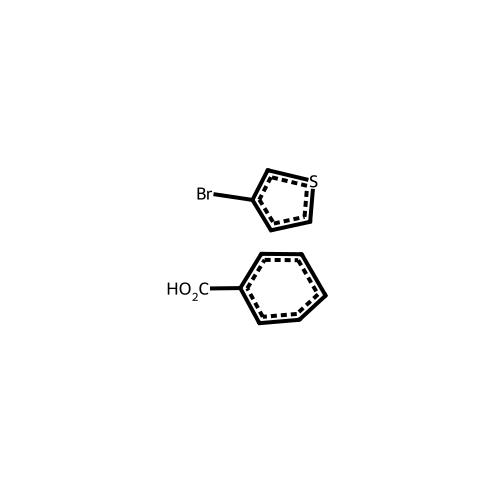 Brc1ccsc1.O=C(O)c1ccccc1